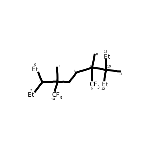 CCC(CC)C(C)(CCC(C)(C(F)(F)F)C(C)(CC)CC)C(F)(F)F